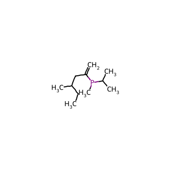 C=C(CC(C)CC)P(C)C(C)C